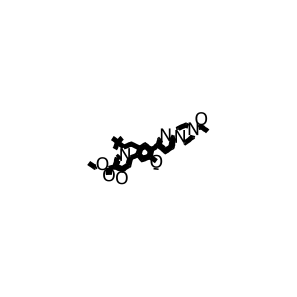 CCOC(=O)c1cn2c(cc1=O)-c1cc(OC)c(-c3ccc(N4CCN(C(C)=O)CC4)nc3)cc1CC2C(C)(C)C